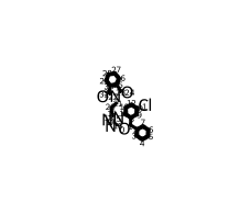 O=C(c1ccccc1)c1cc(Cl)ccc1-n1cnnc1CCN1C(=O)c2ccccc2C1=O